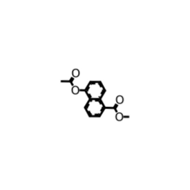 COC(=O)c1cccc2c(OC(C)=O)cccc12